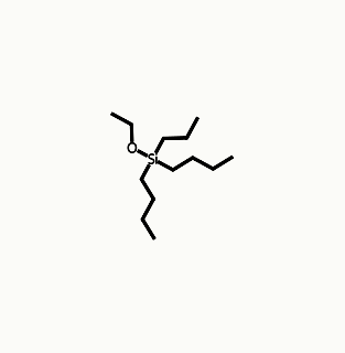 CCCC[Si](CCC)(CCCC)OCC